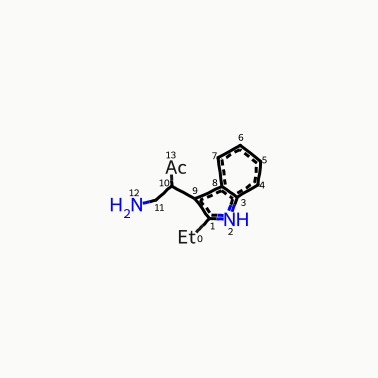 CCc1[nH]c2ccccc2c1C(CN)C(C)=O